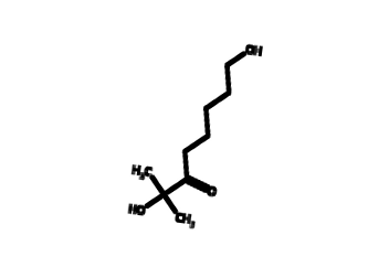 CC(C)(O)C(=O)CCCCCO